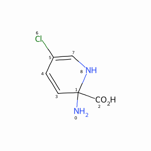 NC1(C(=O)O)C=CC(Cl)=CN1